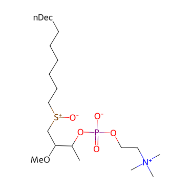 CCCCCCCCCCCCCCCC[S+]([O-])CC(OC)C(C)OP(=O)([O-])OCC[N+](C)(C)C